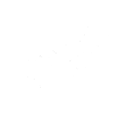 COc1ccc([C@@]23CC[C@@H](N(C)C(=O)Nc4cccc(Br)c4)C[C@@H]2N(C)CC3)cc1OC